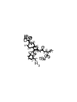 Cc1cccc2oc(-c3c(NC(=O)CCN(C(=O)OC(C)(C)C)C(C)C)sc4c3CCN(C(=O)OC(C)(C)C)C4)nc12